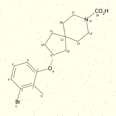 Cc1c(Br)cccc1O[C@@H]1CCC2(CCN(C(=O)O)CC2)C1